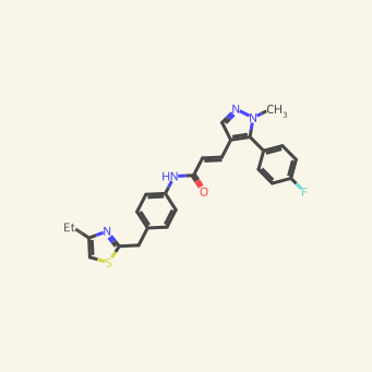 CCc1csc(Cc2ccc(NC(=O)C=Cc3cnn(C)c3-c3ccc(F)cc3)cc2)n1